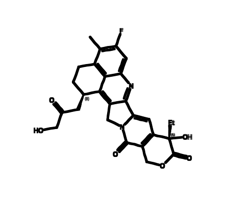 CC[C@@]1(O)C(=O)OCc2c1cc1n(c2=O)Cc2c-1nc1cc(F)c(C)c3c1c2[C@@H](CC(=O)CO)CC3